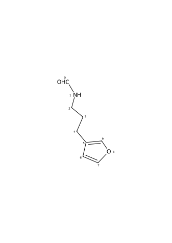 O=CNCCCc1ccoc1